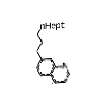 CCCCCCCCCCc1ccc2[c]ccnc2c1